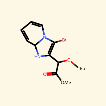 COC(=O)C(OC(C)(C)C)C1=C(Br)N2C=CC=CC2N1